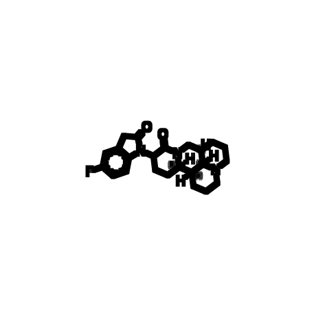 O=C1Cc2cc(F)ccc2N1C1CC[C@@H]2[C@H]3CCCN4CCC[C@@H](CN2C1=O)[C@@H]34